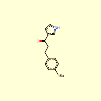 CCCCc1ccc(CCC(=O)c2cc[nH]c2)cc1